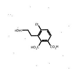 CCCCCCCCCCCCc1c(CC)ccc(C(=O)O)c1C(=O)O